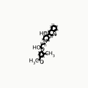 CC(=O)c1ccc(OC(O)CCN2CCC(O)(c3cnc4ccccc4c3)CC2)c(C)c1